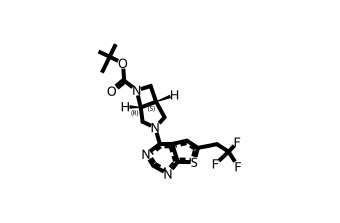 CC(C)(C)OC(=O)N1C[C@@H]2CN(c3ncnc4sc(CC(F)(F)F)cc34)C[C@@H]21